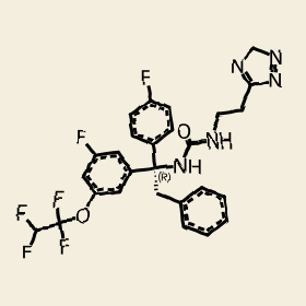 O=C(NCCC1=NCN=N1)N[C@](Cc1ccccc1)(c1ccc(F)cc1)c1cc(F)cc(OC(F)(F)C(F)F)c1